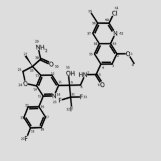 COc1cc(C(=O)NCC(O)(c2cc3c(c(-c4ccc(F)cc4)n2)OC[C@]3(C)C(N)=O)C(F)(F)F)cc2cc(C)c(Cl)nc12